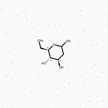 CC(=O)OC[C@H]1OC(O)C[C@@H](O)[C@@H]1O